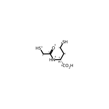 O=C(CS)N[C@H](CCS)C(=O)O